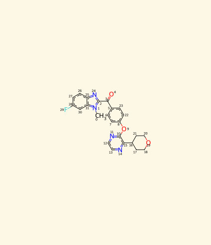 Cn1c(C(=O)c2ccc(Oc3nccnc3C3CCOCC3)cc2)nc2ccc(F)cc21